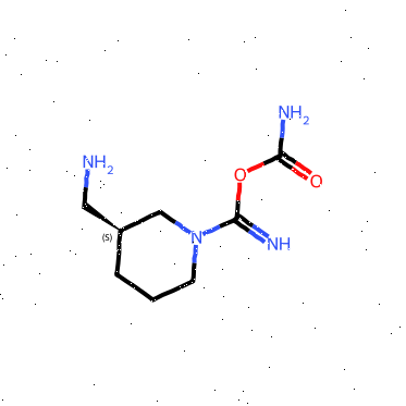 N=C(OC(N)=O)N1CCC[C@@H](CN)C1